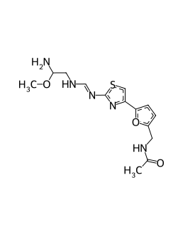 COC(N)CNC=Nc1nc(-c2ccc(CNC(C)=O)o2)cs1